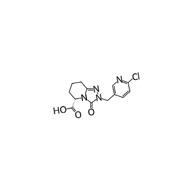 O=C(O)[C@@H]1CCCc2nn(Cc3ccc(Cl)nc3)c(=O)n21